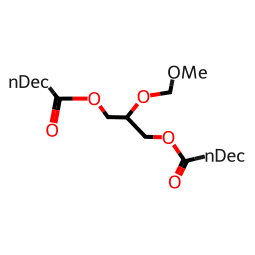 CCCCCCCCCCC(=O)OCC(COC(=O)CCCCCCCCCC)OCOC